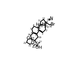 C[C@]12CC=C3C4=C(CC[C@H]3[C@@H]1CC[C@@]2(C#N)CBr)CC1(OCCO1)C([Si](C)(C)O)C4